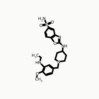 CCNc1cc(CN2CCC(Nc3nc4cc(S(N)(=O)=O)ccc4o3)CC2)ccc1OC